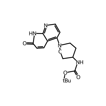 CC(C)(C)OC(=O)NC1CCN(c2ccnc3[nH]c(=O)ccc23)CC1